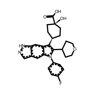 O=C(O)[C@]1(O)CC[C@@H](c2c(C3CCOCC3)n(-c3ccc(F)cc3)c3cc4cn[nH]c4cc32)CC1